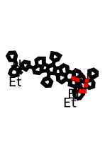 CCC1CCC2(C)N(c3ccccc3)c3ccc(-c4ccc5c6c(-c7ccccc7)c7c8ccc(-c9ccc%10c(c9)C9(C)CC(CC)CCC9(C)N%10c9ccccc9)c9c(-c%10ccc%11c(c%10)C%10(C)CC(CC)CCC%10(C)N%11c%10ccccc%10)ccc(c7c(-c7ccccc7)c6c6cccc4c65)c98)cc3C2(C)C1